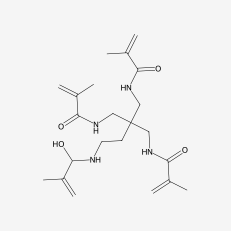 C=C(C)C(=O)NCC(CCNC(O)C(=C)C)(CNC(=O)C(=C)C)CNC(=O)C(=C)C